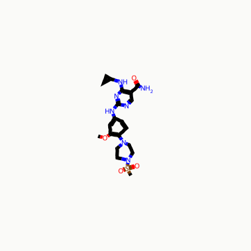 COc1cc(Nc2ncc(C(N)=O)c(NC3CC3)n2)ccc1N1CCN(S(C)(=O)=O)CC1